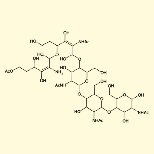 CC(=O)N/C(=C(\O)C(CCO)OC(O)/C(N)=C(/O)C(O)CCOC(C)=O)C(O)OC1C(CO)OC(OC2C(CO)OC(OC3C(CO)OC(O)C(NC(C)=O)C3O)C(NC(C)=O)C2O)C(NC(C)=O)C1O